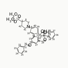 COC(OC)C1CCN(c2ccc(C3(O)c4ccc(OCc5ccccc5)cc4COC3(C)c3ccccc3)cc2)CC1